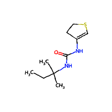 CCC(C)(C)NC(=O)NC1=CSCC1